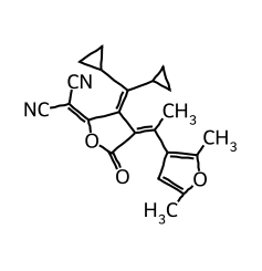 CC(=C1C(=O)OC(=C(C#N)C#N)C1=C(C1CC1)C1CC1)c1cc(C)oc1C